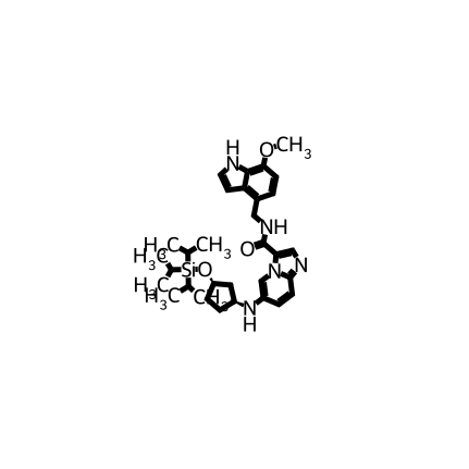 COc1ccc(CNC(=O)c2cnc3ccc(N[C@H]4CC[C@H](O[Si](C(C)C)(C(C)C)C(C)C)C4)cn23)c2cc[nH]c12